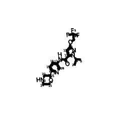 CC(C)n1nc(OCC(F)(F)F)cc1C(=O)Nc1ccc([C@@H]2CNCCO2)nc1